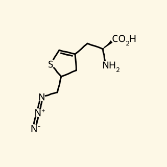 [N-]=[N+]=NCC1CC(C[C@H](N)C(=O)O)=CS1